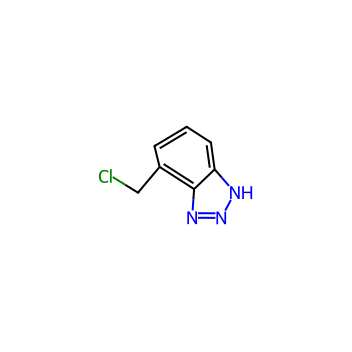 ClCc1cccc2[nH]nnc12